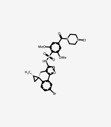 CCN1CCN(C(=O)c2cc(OC)c(S(=O)(=O)Nc3noc4c3C[C@@]3(C[C@@H]3C)c3ccc(Br)cc3-4)c(OC)c2)CC1